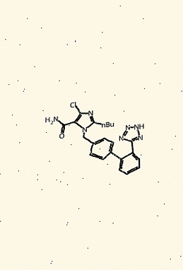 CCCCc1nc(Cl)c(C(N)=O)n1Cc1ccc(-c2ccccc2-c2nn[nH]n2)cc1